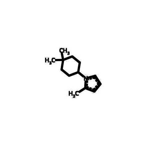 Cc1cccn1C1CCC(C)(C)CC1